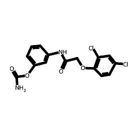 NC(=O)Oc1cccc(NC(=O)COc2ccc(Cl)cc2Cl)c1